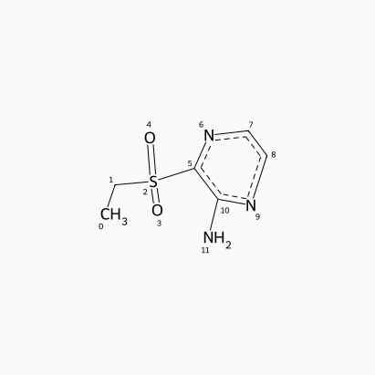 CCS(=O)(=O)c1nccnc1N